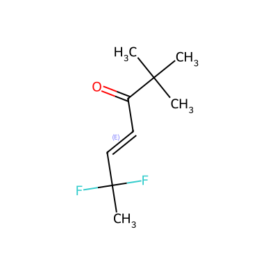 CC(F)(F)/C=C/C(=O)C(C)(C)C